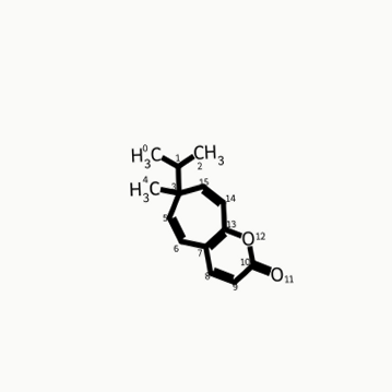 CC(C)C1(C)C=Cc2ccc(=O)oc2C=C1